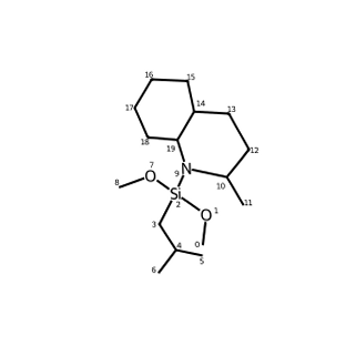 CO[Si](CC(C)C)(OC)N1C(C)CCC2CCCCC21